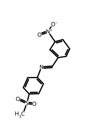 CS(=O)(=O)c1ccc(N=Cc2cccc([N+](=O)[O-])c2)cc1